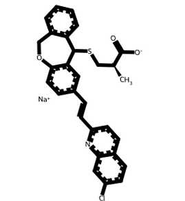 C[C@@H](CSC1c2ccccc2COc2ccc(C=Cc3ccc4ccc(Cl)cc4n3)cc21)C(=O)[O-].[Na+]